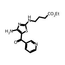 CCOC(=O)CCCNc1nc(N)c(C(=O)c2cccnc2)s1